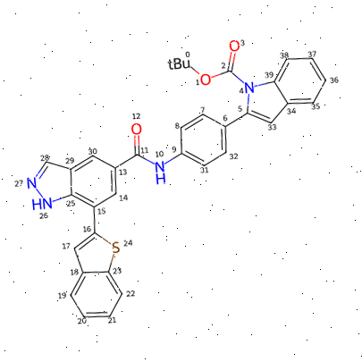 CC(C)(C)OC(=O)n1c(-c2ccc(NC(=O)c3cc(-c4cc5ccccc5s4)c4[nH]ncc4c3)cc2)cc2ccccc21